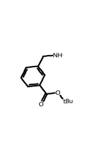 CC(C)(C)OC(=O)c1cccc(C[NH])c1